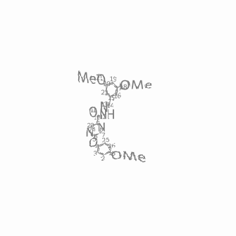 COc1ccc(Oc2cnc(C(=O)N/N=C/c3cc(OC)cc(OC)c3)cn2)cc1